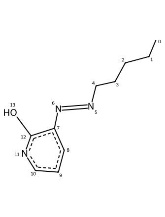 CCCCCN=Nc1cccnc1O